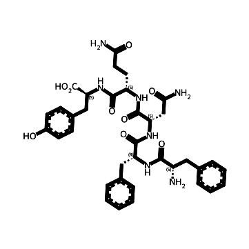 NC(=O)CC[C@H](NC(=O)[C@H](CC(N)=O)NC(=O)[C@@H](Cc1ccccc1)NC(=O)[C@@H](N)Cc1ccccc1)C(=O)N[C@@H](Cc1ccc(O)cc1)C(=O)O